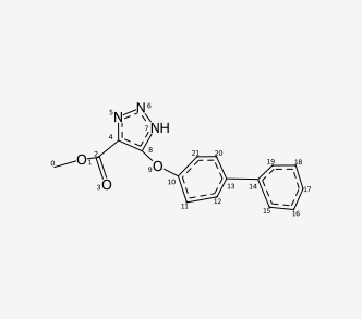 COC(=O)c1nn[nH]c1Oc1ccc(-c2ccccc2)cc1